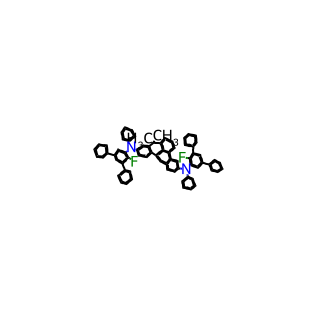 CC1(C)c2cc(N(c3ccccc3)c3cc(-c4ccccc4)cc(-c4ccccc4)c3F)ccc2-c2cc3ccc(N(c4ccccc4)c4cc(-c5ccccc5)cc(-c5ccccc5)c4F)cc3c3cccc1c23